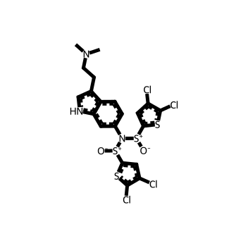 CN(C)CCc1c[nH]c2cc(N([S+]([O-])c3cc(Cl)c(Cl)s3)[S+]([O-])c3cc(Cl)c(Cl)s3)ccc12